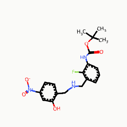 CC(C)(C)OC(=O)Nc1cccc(CNCc2ccc([N+](=O)[O-])cc2O)c1F